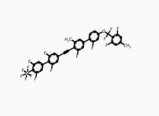 Cc1cc(F)c(C(F)(F)Oc2ccc(-c3cc(C)c(C#Cc4cc(F)c(-c5cc(F)c(S(F)(F)(F)(F)F)c(F)c5)c(F)c4)c(F)c3)c(F)c2)c(F)c1